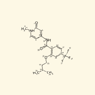 CN/C=C\C(=C/C=O)NC(=O)c1ccc(C(F)(F)F)cc1OCCC(C)C